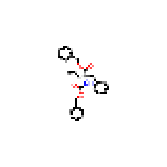 C=CCC(Cc1ccccc1)(NC(=O)OCc1ccccc1)C(=O)OCc1ccccc1